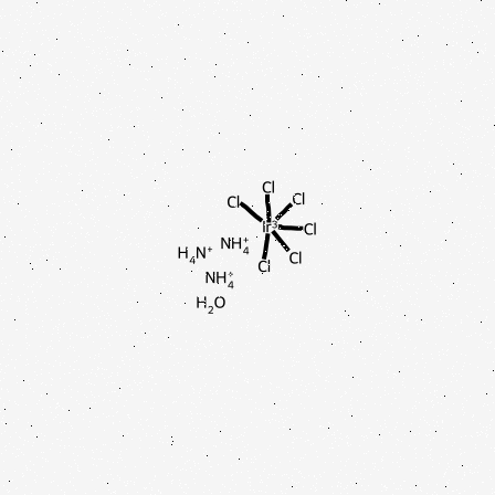 O.[Cl][Ir-3]([Cl])([Cl])([Cl])([Cl])[Cl].[NH4+].[NH4+].[NH4+]